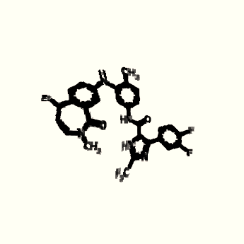 CCC1C=CN(C)C(=O)c2cc(Nc3cc(NC(=O)c4[nH]c(C(F)(F)F)nc4-c4ccc(F)c(F)c4)ccc3C)ccc21